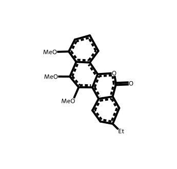 CCc1ccc2c(c1)c(=O)oc1c3cccc(OC)c3c(OC)c(OC)c21